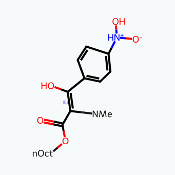 [CH2-][NH2+]/C(C(=O)OCCCCCCCC)=C(/O)c1ccc([NH+]([O-])O)cc1